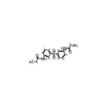 CC(=O)CC(=O)Nc1cccc(S(=O)(=O)c2cccc(NC(=O)CC(C)=O)c2)c1